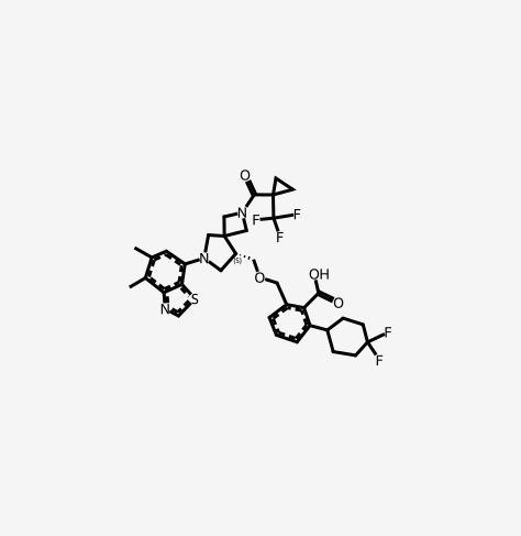 Cc1cc(N2C[C@@H](COCc3cccc(C4CCC(F)(F)CC4)c3C(=O)O)C3(CN(C(=O)C4(C(F)(F)F)CC4)C3)C2)c2scnc2c1C